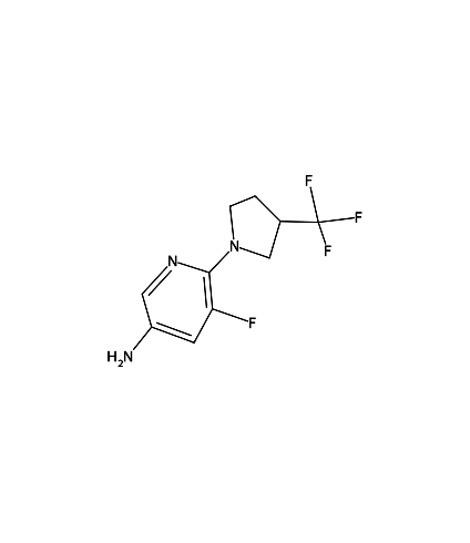 Nc1cnc(N2CCC(C(F)(F)F)C2)c(F)c1